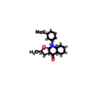 CSc1cccc(-n2c3c(c(=O)c4ccccc42)CC(C)O3)c1